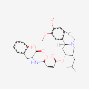 COc1cc2c(cc1OC)[C@H]1C[C@@H](OC(=O)/C=C\C(=O)NC(Cc3ccccc3)C(=O)O)[C@H](CC(C)C)CN1CC2